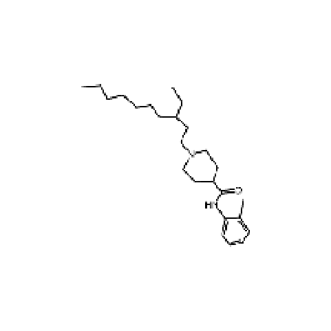 CCCCCCCC(CC)CCN1CCC(C(=O)Nc2ccccc2C)CC1